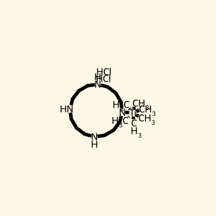 Cl.Cl.[CH3][Ti]([CH3])([CH3])([CH3])([CH3])([CH3])[N]1CCCNCCCNCCCNCCC1